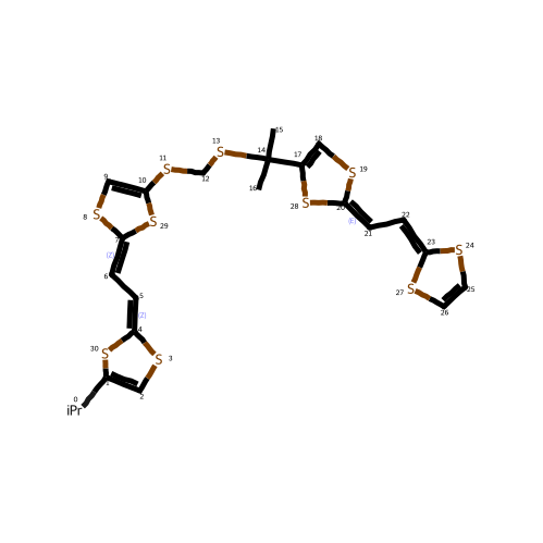 CC(C)C1=CS/C(=C/C=C2/SC=C(SCSC(C)(C)C3=CS/C(=C\C=C4SC=CS4)S3)S2)S1